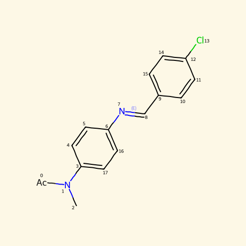 CC(=O)N(C)c1ccc(/N=C/c2ccc(Cl)cc2)cc1